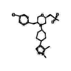 Cc1c(C2CCC(N3C[C@H](CS(C)(=O)=O)OC[C@@H]3Cc3ccc(Cl)cc3)CC2)cnn1C